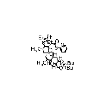 CC[Si](CC)(CC)O[C@@H]1[C@H](CC(=O)Sc2ccccn2)O[C@]2(C[C@H](C)[C@@H]3O[C@@H]4CO[Si](C(C)(C)C)(C(C)(C)C)O[C@@H]4C[C@@H]3O2)C[C@@H]1C